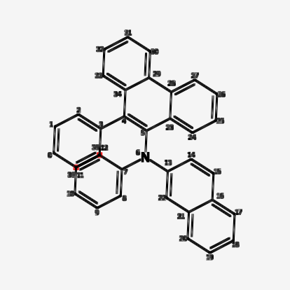 c1ccc(-c2c(N(c3ccccc3)c3ccc4ccccc4c3)c3ccccc3c3ccccc23)cc1